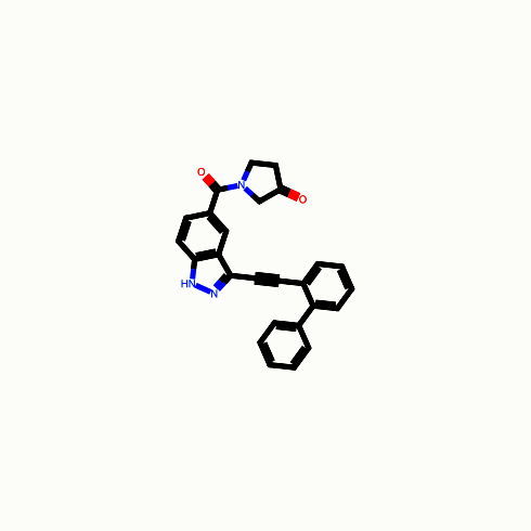 O=C1CCN(C(=O)c2ccc3[nH]nc(C#Cc4ccccc4-c4ccccc4)c3c2)C1